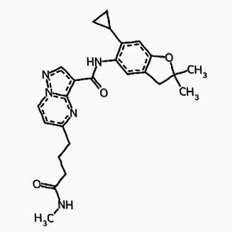 CNC(=O)CCCc1ccn2ncc(C(=O)Nc3cc4c(cc3C3CC3)OC(C)(C)C4)c2n1